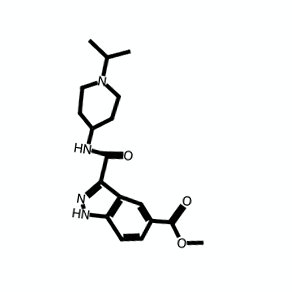 COC(=O)c1ccc2[nH]nc(C(=O)NC3CCN(C(C)C)CC3)c2c1